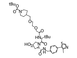 Cc1ncsc1-c1ccc(CNC(=O)[C@@H]2C[C@@H](O)CN2C(=O)C(NC(=O)COCCOCC2CCN(C(=O)OC(C)(C)C)CC2)C(C)(C)C)cc1